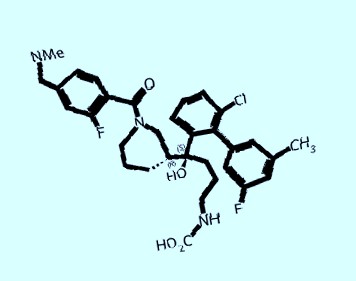 CNCc1ccc(C(=O)N2CCC[C@@H]([C@@](O)(CCCNC(=O)O)c3cccc(Cl)c3-c3cc(C)cc(F)c3)C2)c(F)c1